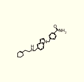 NC(=O)c1ccc(Cn2ccc3cc(CNCCC4=CCCCC4)ccc32)cc1